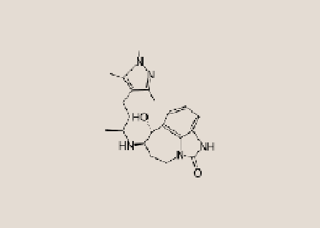 Cc1nn(C)c(C)c1CC[C@H](C)N[C@@H]1CCn2c(=O)[nH]c3cccc(c32)[C@H]1O